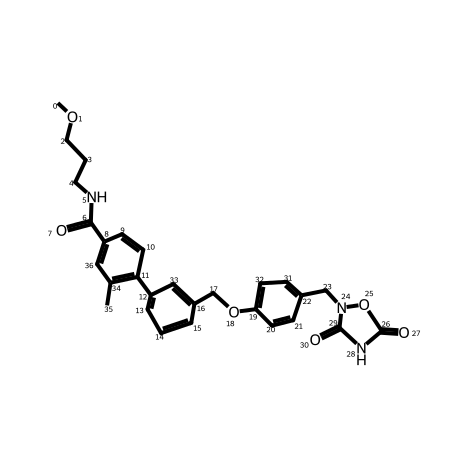 COCCCNC(=O)c1ccc(-c2cccc(COc3ccc(Cn4oc(=O)[nH]c4=O)cc3)c2)c(C)c1